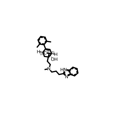 Cc1cccc(C)c1C1=C[C@@H]2CC[C@H]1C[C@]2(O)CCN(C)CCCc1nc2ccccc2[nH]1